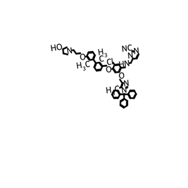 Cc1c(COc2cc(OCc3ncn(C(c4ccccc4)(c4ccccc4)c4ccccc4)c3C)c(CNCc3ccnc(C#N)n3)cc2Cl)cccc1-c1cccc(OCCCN2CCC(O)C2)c1C